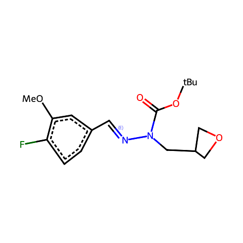 COc1cc(/C=N/N(CC2COC2)C(=O)OC(C)(C)C)ccc1F